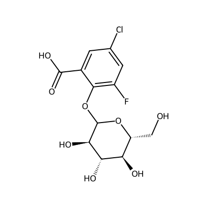 O=C(O)c1cc(Cl)cc(F)c1OC1O[C@H](CO)[C@@H](O)[C@H](O)[C@H]1O